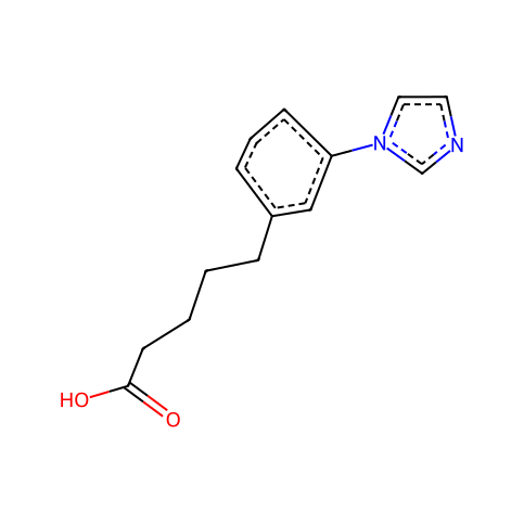 O=C(O)CCCCc1cccc(-n2ccnc2)c1